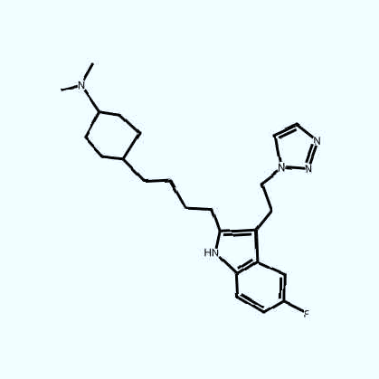 CN(C)C1CCC(CCCCc2[nH]c3ccc(F)cc3c2CCn2ccnn2)CC1